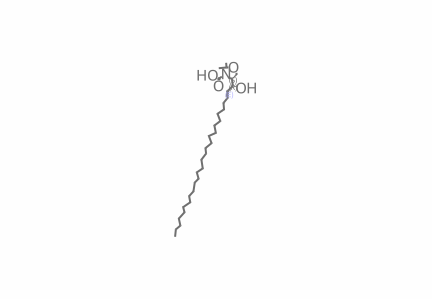 CCCCCCCCCCCCCCCCCCCCCCCC/C=C/[C@@H](O)[C@@H]1COC(C)(C)N1C(=O)O